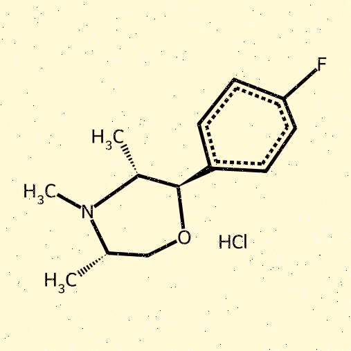 C[C@@H]1[C@@H](c2ccc(F)cc2)OC[C@H](C)N1C.Cl